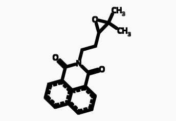 CC1(C)OC1CCN1C(=O)c2cccc3cccc(c23)C1=O